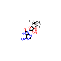 CC(C)(C)C[C@H]1O[C@@H](n2c(=O)[nH]c3c(N)ncnc32)C(O)C1O